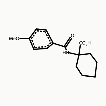 COc1ccc(C(=O)NC2(C(=O)O)CCCCC2)cc1